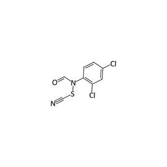 N#CSN(C=O)c1ccc(Cl)cc1Cl